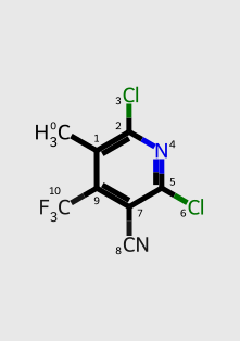 Cc1c(Cl)nc(Cl)c(C#N)c1C(F)(F)F